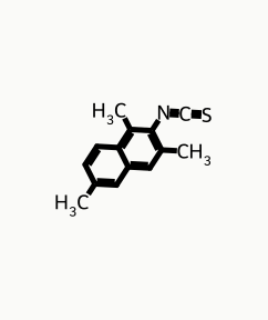 Cc1ccc2c(C)c(N=C=S)c(C)cc2c1